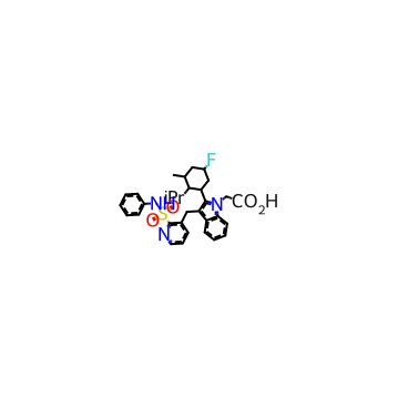 CC(C)C1C(C)CC(F)CC1c1c(Cc2cccnc2S(=O)(=O)Nc2ccccc2)c2ccccc2n1CC(=O)O